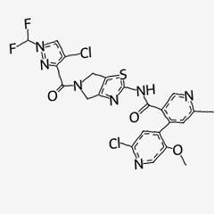 COc1cnc(Cl)cc1-c1cc(C)ncc1C(=O)Nc1nc2c(s1)CN(C(=O)c1nn(C(F)F)cc1Cl)C2